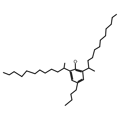 CCCCCCCCCCC(C)c1cc(CCCC)cc(C(C)CCCCCCCCCC)c1[O]